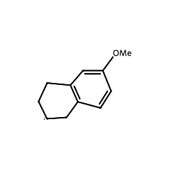 COc1ccc2c(c1)CC[C]C2